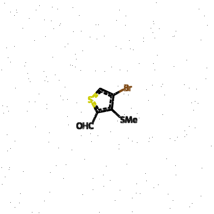 CSc1c(Br)csc1C=O